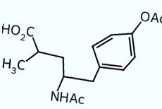 CC(=O)NC(Cc1ccc(OC(C)=O)cc1)CC(C)C(=O)O